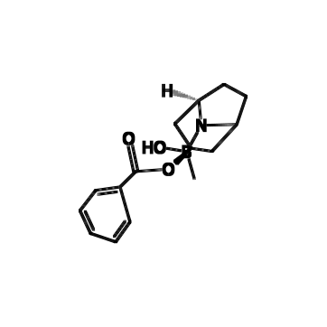 CB(O)N1C2CC[C@@H]1C[C@H](OC(=O)c1ccccc1)C2